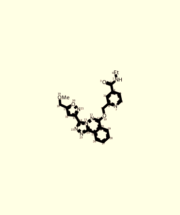 CCNC(=O)c1ccnc(COc2nn3c(-c4cc(COC)on4)nnc3c3ccccc23)c1